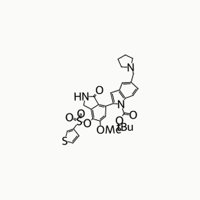 COc1cc(-c2cc3cc(CN4CCCC4)ccc3n2C(=O)OC(C)(C)C)c2c(c1OS(=O)(=O)c1ccsc1)CNC2=O